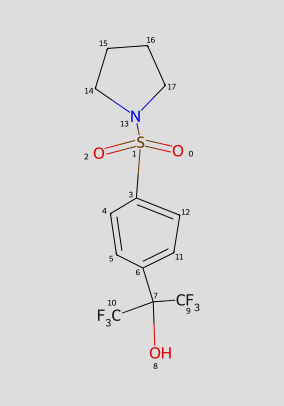 O=S(=O)(c1ccc(C(O)(C(F)(F)F)C(F)(F)F)cc1)N1CCCC1